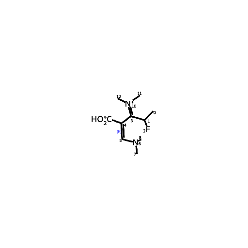 CC(F)C(/C(=C\N(C)C)C(=O)O)=[N+](C)C